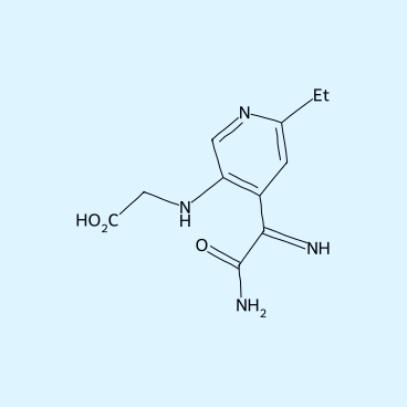 CCc1cc(C(=N)C(N)=O)c(NCC(=O)O)cn1